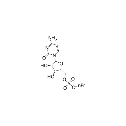 CCCOS(=O)(=O)OC[C@H]1O[C@@H](n2ccc(N)nc2=O)[C@H](O)[C@@H]1O